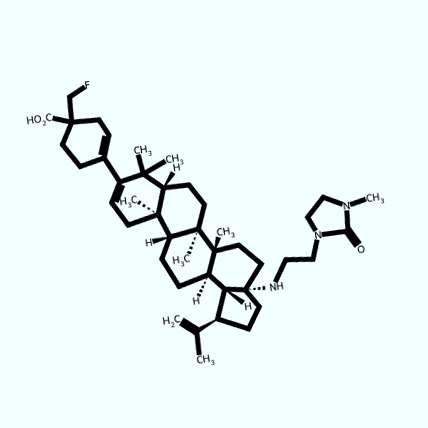 C=C(C)[C@@H]1CC[C@]2(NCCN3CCN(C)C3=O)CC[C@]3(C)[C@H](CC[C@@H]4[C@@]5(C)CC=C(C6=CCC(CF)(C(=O)O)CC6)C(C)(C)[C@@H]5CC[C@]43C)[C@@H]12